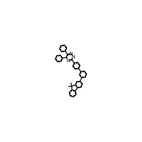 CC1(C)c2ccccc2-c2ccc(-c3cccc(-c4ccc(-c5nnc(-c6ccccc6)c(-c6ccccc6)n5)cc4)c3)cc21